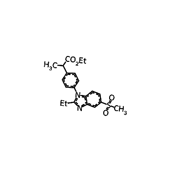 CCOC(=O)C(C)c1ccc(-n2c(CC)nc3cc(S(C)(=O)=O)ccc32)cc1